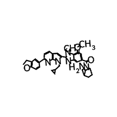 COc1cc(C(=O)N2CC3CCC2C3N)cc2nc(-c3cc4ccc(-c5ccc6c(c5)CCO6)nc4n3CC3CC3)n(C)c12